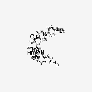 C=Nc1c(/C=C\C)cccc1S(=O)(=O)Nc1ccc(C(=O)N2CCN(c3ccc(SCC)cc3)CC2)cc1